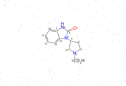 O=C(O)N1CCC(n2c(=O)[nH]c3ccccc32)C1